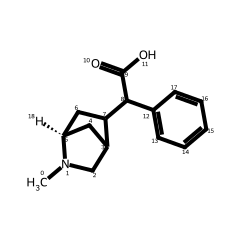 CN1CC2C[C@@H]1CC2C(C(=O)O)c1ccccc1